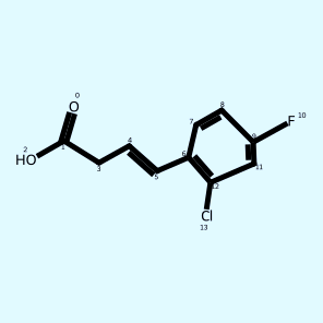 O=C(O)C/C=C/c1ccc(F)cc1Cl